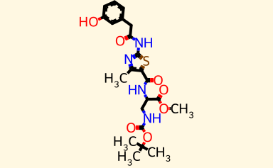 COC(=O)C(CNC(=O)OC(C)(C)C)NC(=O)c1sc(NC(=O)Cc2cccc(O)c2)nc1C